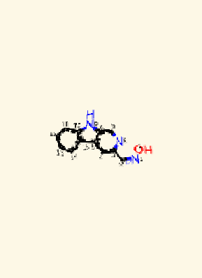 O/N=C\c1cc2c(cn1)[nH]c1ccccc12